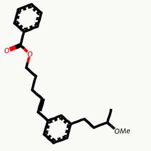 COC(C)CCc1cccc(C=CCCCOC(=O)c2ccccc2)c1